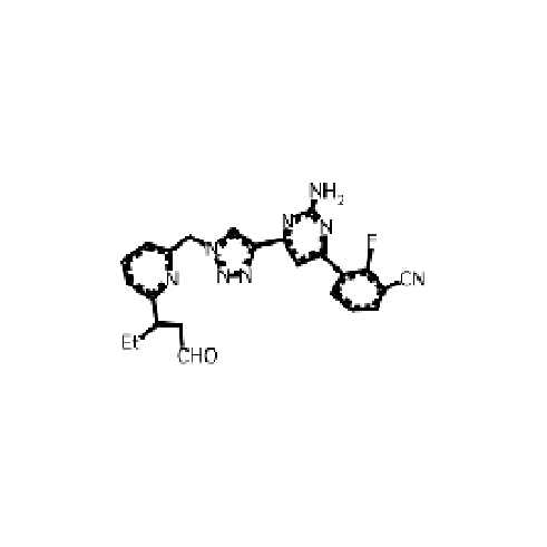 CCC(CC=O)c1cccc(Cn2cc(-c3cc(-c4cccc(C#N)c4F)nc(N)n3)nn2)n1